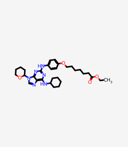 CCOC(=O)CCCCCCOc1ccc(Nc2nc(NC3CCCCC3)c3ncn(C4CCCCO4)c3n2)cc1